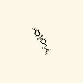 O=C(CCl)NCC1CCN(S(=O)(=O)c2ccc(Cl)nc2)CC1